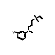 C=C[Si](C)(C)CCCN(C)c1cccc(C(F)(F)F)c1